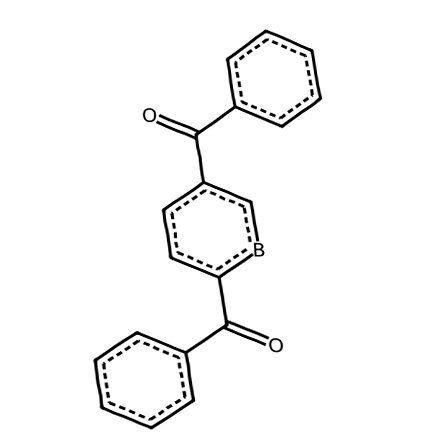 O=C(c1bcc(C(=O)c2ccccc2)cc1)c1ccccc1